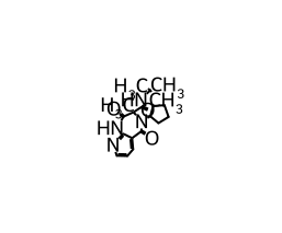 CC(C)(C)NC(=O)C1(C)C(=O)Nc2ncccc2C(=O)N1C1CCCC1